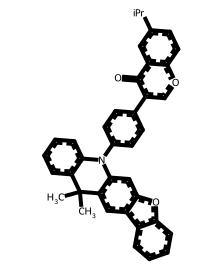 CC(C)c1ccc2occ(-c3ccc(N4c5ccccc5C(C)(C)c5cc6c(cc54)oc4ccccc46)cc3)c(=O)c2c1